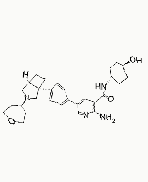 Nc1ncc(-c2ccc([C@@]34CC[C@@H]3CN(C3CCOCC3)C4)cc2)cc1C(=O)N[C@H]1CC[C@H](O)CC1